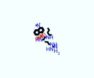 CCCC(C)NC(=O)[C@H](CCCNC(=N)N)NS(=O)(=O)c1cccc2c(N(C)C)cccc12